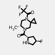 C[C@@H]1CN(C(=O)C(F)(F)F)C2(CC2)CN1C(=O)[C@H]1C[C@@H](F)CN1